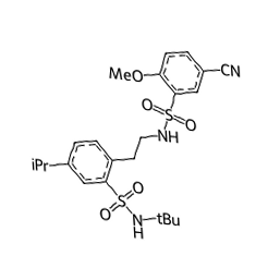 COc1ccc(C#N)cc1S(=O)(=O)NCCc1ccc(C(C)C)cc1S(=O)(=O)NC(C)(C)C